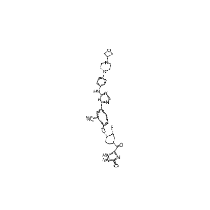 N#Cc1cc(-c2ncnc(Nc3ccc(N4CCN(C5COC5)CC4)cc3)n2)ccc1O[C@H]1CCC(C(=O)c2nc(=O)[nH][nH]2)C[C@H]1F